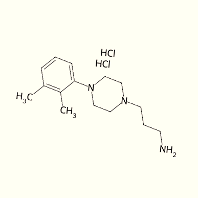 Cc1cccc(N2CCN(CCCN)CC2)c1C.Cl.Cl